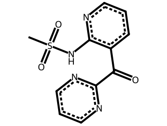 CS(=O)(=O)Nc1ncccc1C(=O)c1ncccn1